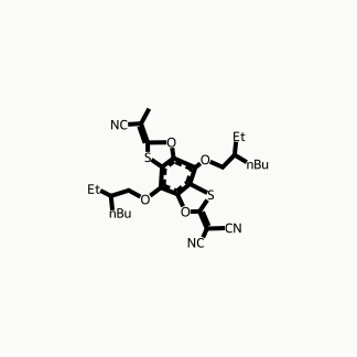 CCCCC(CC)COc1c2c(c(OCC(CC)CCCC)c3c1SC(=C(C#N)C#N)O3)S/C(=C(/C)C#N)O2